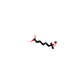 COC(C)(C)CCCCCC(=O)O